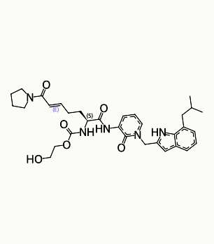 CC(C)Cc1cccc2cc(Cn3cccc(NC(=O)[C@H](CC/C=C/C(=O)N4CCCC4)NC(=O)OCCO)c3=O)[nH]c12